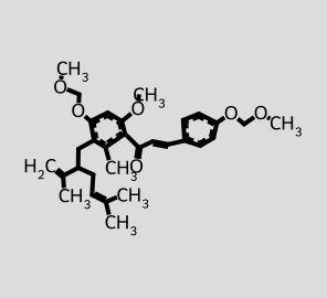 C=C(C)C(CC=C(C)C)Cc1c(OCOC)cc(OC)c(C(=O)/C=C/c2ccc(OCOC)cc2)c1C